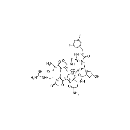 N=C(N)NCCC[C@H](NC(=O)[C@@H](CS)NC(=O)C(CC(N)=O)NC(=O)C1CC(O)CN1C(=O)CNC(=O)[C@@H](Cc1cc(F)cc(F)c1)NC(=O)CNC(=O)[C@@H](CC(=O)O)NC(=O)[C@H](N)CS)C(=O)I